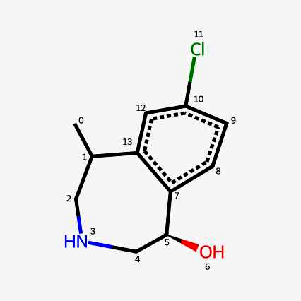 CC1CNC[C@H](O)c2ccc(Cl)cc21